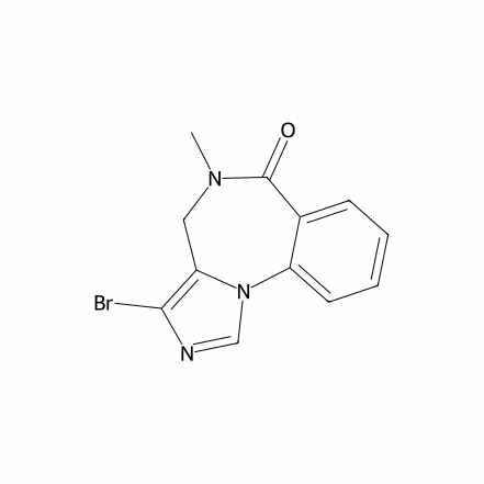 CN1Cc2c(Br)ncn2-c2ccccc2C1=O